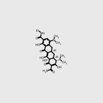 CCNC(=O)c1cc(N(C)C)c2c(c1O)C(=O)C1=C(O)[C@]3(O)C(=O)C(C(N)=O)=C(O)[C@@H](N(C)C)[C@@H]3C[C@@H]1C2